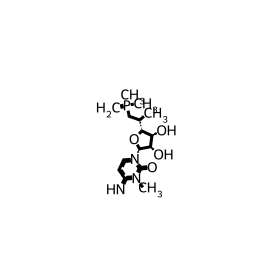 C=P(C)(C)CC(C)[C@H]1O[C@@H](n2ccc(=N)n(C)c2=O)[C@H](O)[C@@H]1O